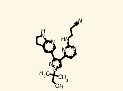 CC(C)(CO)n1cc(-c2ccnc(NCCC#N)n2)c(-c2cnc3c(c2)CCN3)n1